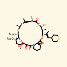 CC[C@@H]1/C=C(\C)C[C@H](C)C[C@H](OC)[C@H]2O[C@@](O)(C(=O)C(=O)N3CCCC[C@H]3C(=O)O[C@H](/C(C)=C/C3CCSCC3)[C@H](C)[C@@H](O)CC1=O)[C@H](C)C[C@@H]2OC